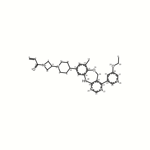 C=CC(=O)N1CC(N2CCC(c3cc(C)c4c(c3)Nc3ncnc(-c5cncc(OCC)c5)c3CO4)CC2)C1